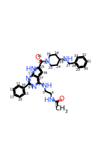 CC(=O)NCCNc1nc(-c2ccccc2)nc2[nH]c(C(=O)N3CCC(NCc4ccccc4)CC3)cc12